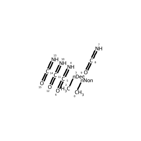 CCCCCCCCCC.CCCCCCCCCCC.N=C=O.N=C=O.N=C=O.N=C=O